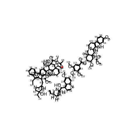 C=C[C@H]1C[N@]2CC[C@H]1C[C@@H]2[C@@H](O)c1ccnc2ccc(OC)cc12.CC[C@]1(O)C[C@@H]2C[N@@](CCc3c([nH]c4ccccc34)[C@@](C(=O)OC)(c3cc4c(cc3OC)N(C)[C@H]3[C@@](O)(C(=O)OC)[C@H](OC(C)=O)[C@]5(CC)C=CCN6CC[C@]43[C@@H]65)C2)C1.COC(=O)[C@H]1[C@H]2C[C@@H]3c4[nH]c5cc(OC)ccc5c4CCN3C[C@H]2C[C@@H](OC(=O)c2cc(OC)c(OC)c(OC)c2)[C@@H]1OC